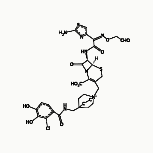 Nc1nc(/C(=N/OCC=O)C(=O)N[C@@H]2C(=O)N3C(C(=O)O)=C(C[N+]45CCC(CNC(=O)c6ccc(O)c(O)c6Cl)(CC4)CC5)CS[C@H]23)cs1